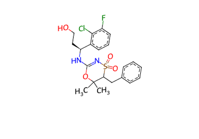 CC1(C)OC(N[C@@H](CCO)c2cccc(F)c2Cl)=NS(=O)(=O)C1Cc1ccccc1